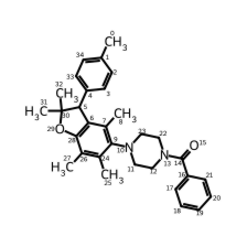 Cc1ccc(C2c3c(C)c(N4CCN(C(=O)c5ccccc5)CC4)c(C)c(C)c3OC2(C)C)cc1